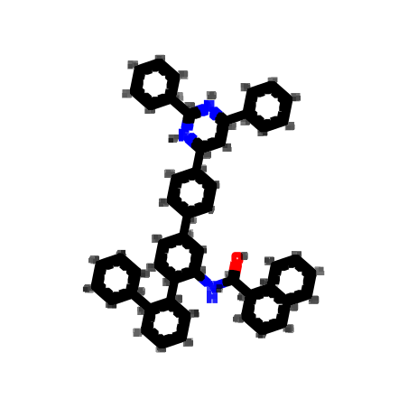 O=C(Nc1cc(-c2ccc(-c3cc(-c4ccccc4)nc(-c4ccccc4)n3)cc2)ccc1-c1ccccc1-c1ccccc1)c1cccc2ccccc12